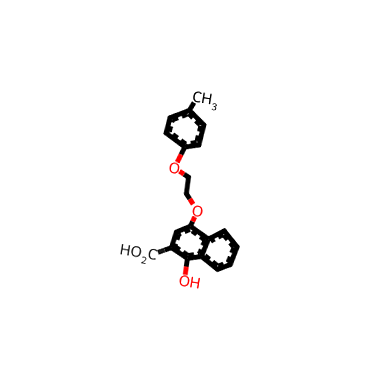 Cc1ccc(OCCOc2cc(C(=O)O)c(O)c3ccccc23)cc1